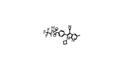 Cc1cnc2c(c1)c(C#N)c(-c1ccc(S(=O)(=O)N[C@@H](C)C(F)(F)F)cc1)n2C1CCC1